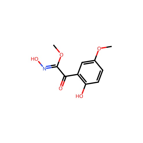 COC(=NO)C(=O)c1cc(OC)ccc1O